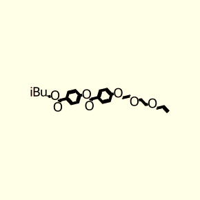 C=CCOCCOCCOc1ccc(C(=O)Oc2ccc(C(=O)OC[C@@H](C)CC)cc2)cc1